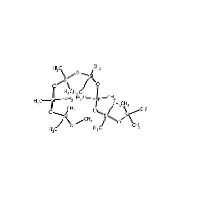 CO[Si](C)(C)O[Si](C)(C)O[Si](C)(C)O[Si](C)(C)O[Si](C)(C)O[Si](C)(C)O[Si](C)(C)O